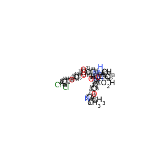 Cc1nccc(Oc2ccc(CC(NC(=O)[C@@H]3c4cc5c(cc4CCN3C(=O)NC(C)(C)c3ccccc3)OC[C@H](c3ccc(OCc4ccc(Cl)c(Cl)c4)cc3)O5)C(=O)O)cc2)c1C